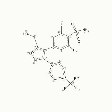 NS(=O)(=O)c1c(F)cc(-c2c(-c3ccc(C(F)(F)F)cc3)noc2CO)cc1F